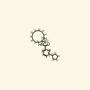 BC1(NC(=O)c2nccc(C3CCCC3)n2)CCCCCCCCCC1